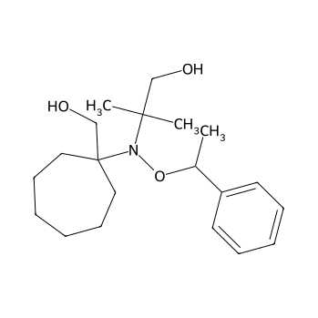 CC(ON(C(C)(C)CO)C1(CO)CCCCCC1)c1ccccc1